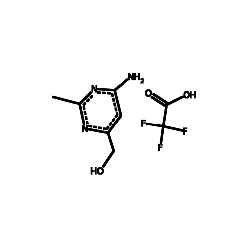 Cc1nc(N)cc(CO)n1.O=C(O)C(F)(F)F